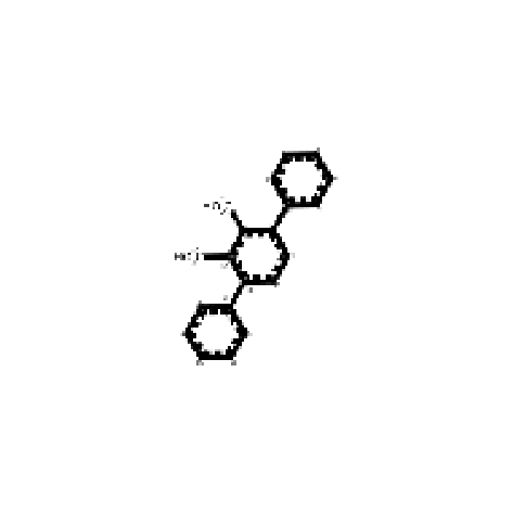 O=C(O)c1c(-c2ccccc2)ccc(-c2ccccc2)c1C(=O)O